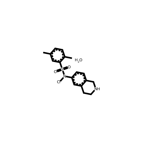 Cc1ccc(C)c(S(=O)(=O)N(Cl)c2ccc3c(c2)CCNC3)c1.O